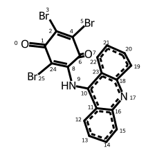 O=C1C(Br)=C(Br)C(=O)C(Nc2c3ccccc3nc3ccccc23)=C1Br